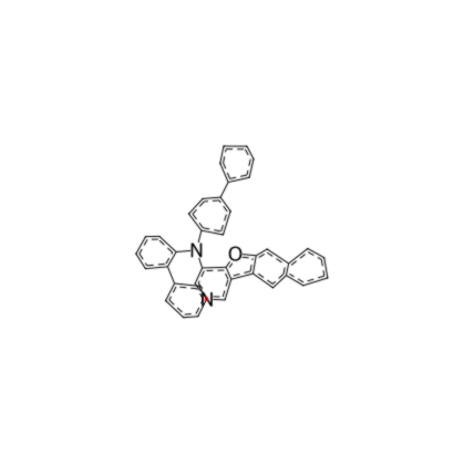 c1ccc(-c2ccc(N(c3ccccc3-c3ccccc3)c3cncc4c3oc3cc5ccccc5cc34)cc2)cc1